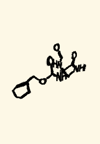 O=CN[C@]1(NC(=O)OCc2ccccc2)CNC1=O